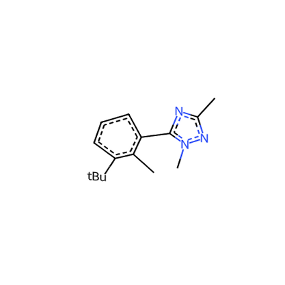 Cc1nc(-c2cccc(C(C)(C)C)c2C)n(C)n1